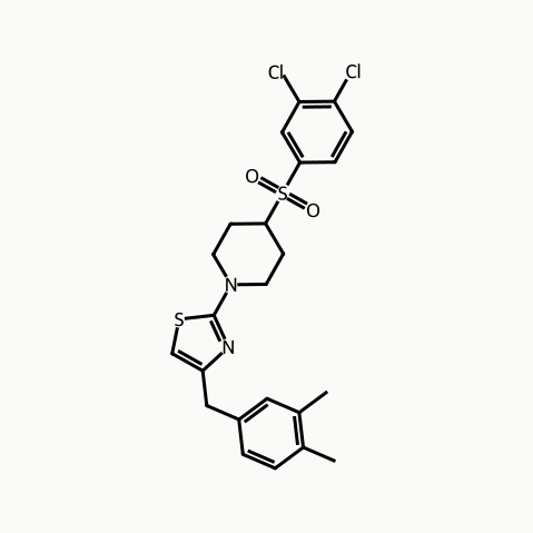 Cc1ccc(Cc2csc(N3CCC(S(=O)(=O)c4ccc(Cl)c(Cl)c4)CC3)n2)cc1C